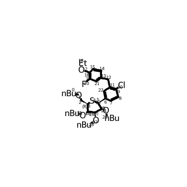 CCCCOC[C@H]1S[C@@H](c2ccc(Cl)c(Cc3ccc(OCC)c(F)c3)c2)[C@H](OCCCC)[C@@H](OCCCC)[C@@H]1OCCCC